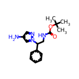 CC(C)(C)OC(=O)NCC(c1ccccc1)n1cc(N)cn1